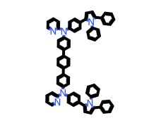 c1ccc(-c2ccc(-c3ccc(N(c4ccc(-c5ccc(-c6ccc(N(c7ccc(-c8ccc(-c9ccccc9)n8-c8ccccc8)cc7)c7ccccn7)cc6)cc5)cc4)c4ccccn4)cc3)n2-c2ccccc2)cc1